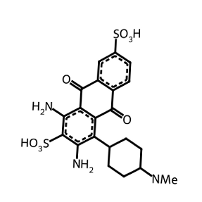 CNC1CCC(c2c(N)c(S(=O)(=O)O)c(N)c3c2C(=O)c2ccc(S(=O)(=O)O)cc2C3=O)CC1